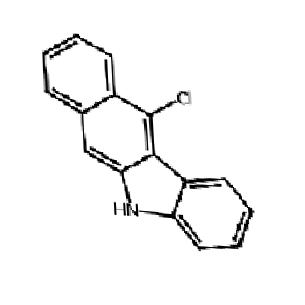 Clc1c2ccccc2cc2[nH]c3ccccc3c12